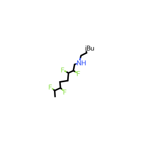 CCC(C)CCNCC(F)C(F)CCC(F)C(C)F